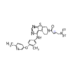 CCN(CC)C/C=C/C(=O)N1CCc2c(sc3ncnc(Nc4ccc(Oc5ccc(C)nc5)c(C)c4)c23)C1